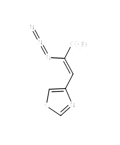 CCOC(=O)/C(=C/c1cscn1)N=[N+]=[N-]